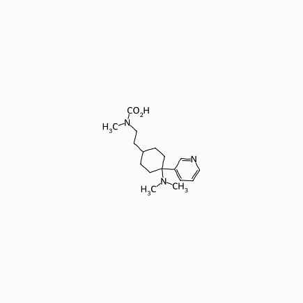 CN(CCC1CCC(c2cccnc2)(N(C)C)CC1)C(=O)O